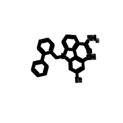 CCc1cc(O)c2c3c(C(N)=O)cccc3n(Cc3ccccc3-c3ccccc3)c2c1